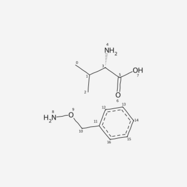 CC(C)[C@H](N)C(=O)O.NOCc1ccccc1